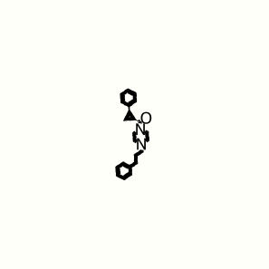 O=C([C@@H]1C[C@H]1c1ccccc1)N1CCN(CCCc2ccccc2)CC1